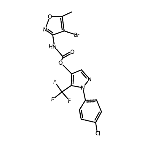 Cc1onc(NC(=O)Oc2cnn(-c3ccc(Cl)cc3)c2C(F)(F)F)c1Br